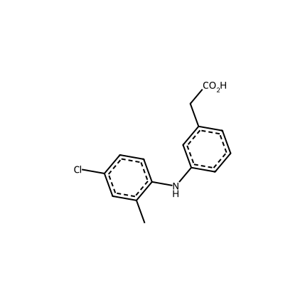 Cc1cc(Cl)ccc1Nc1cccc(CC(=O)O)c1